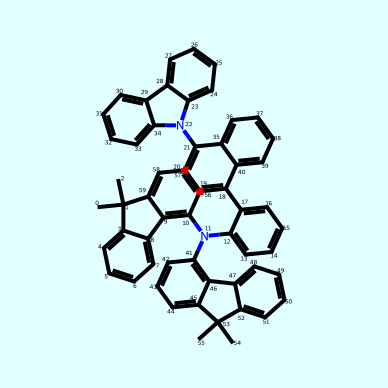 CC1(C)c2ccccc2-c2c(N(c3ccccc3-c3ccc(-n4c5ccccc5c5ccccc54)c4ccccc34)c3cccc4c3-c3ccccc3C4(C)C)cccc21